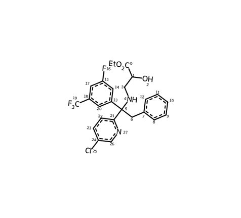 CCOC(=O)C(O)CNC(Cc1ccccc1)(c1cc(F)cc(C(F)(F)F)c1)c1ccc(Cl)cn1